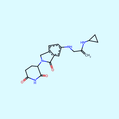 C=C(CNc1ccc2c(c1)C(=O)N(C1CCC(=O)NC1=O)C2)NC1CC1